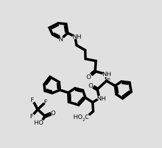 O=C(O)C(F)(F)F.O=C(O)CC(NC(=O)[C@H](NC(=O)CCCCNc1ccccn1)c1ccccc1)c1ccc(-c2ccccc2)cc1